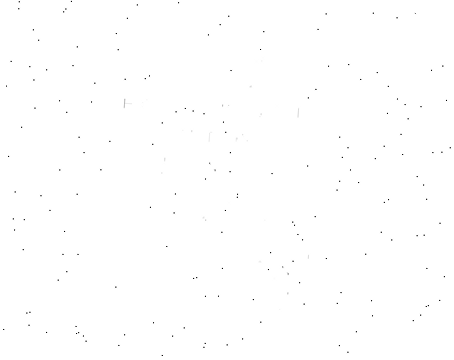 CCOP(=O)(SC(C)CC)N(C=O)Cc1cccc([N+](=O)[O-])c1